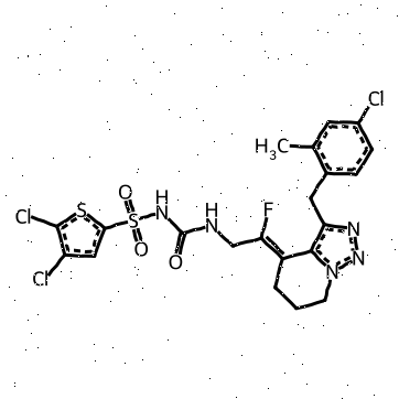 Cc1cc(Cl)ccc1Cc1nnn2c1C(=C(F)CNC(=O)NS(=O)(=O)c1cc(Cl)c(Cl)s1)CCC2